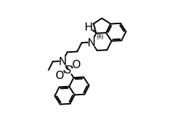 CCN(CCCN1CCc2cccc3c2[C@H]1CC3)S(=O)(=O)c1cccc2ccccc12